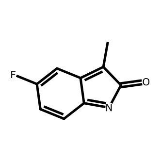 CC1=c2cc(F)ccc2=NC1=O